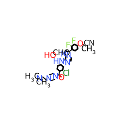 CC(C#N)Oc1ccc(-c2cnc3c(Nc4ccc(C(=O)N5CCN(CCN(C)C)CC5)c(Cl)c4)nccn23)c(F)c1F.O=CO